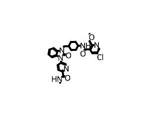 CNC(=O)c1ccc(-n2c(=O)n(CC3CCC(NC(=O)c4cc(Cl)cnc4COC)CC3)c3ccccc32)cn1